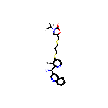 Cc1c(SCCCSCC2CN(C(C)C)C(=O)O2)ccnc1C(N)c1cnc2ccccc2c1